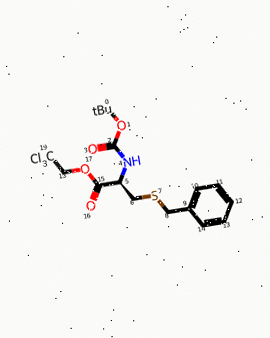 CC(C)(C)OC(=O)N[C@@H](CSCc1ccccc1)C(=O)OCC(Cl)(Cl)Cl